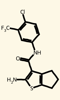 Nc1sc2c(c1C(=O)Nc1ccc(Cl)c(C(F)(F)F)c1)CCC2